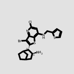 N[C@H]1CC2CCC(C2)[C@@H]1c1sc2c(NCc3cccs3)cc(Cl)nc2c1Br